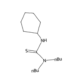 CCCCN(CCCC)C(=S)NC1CCCCC1